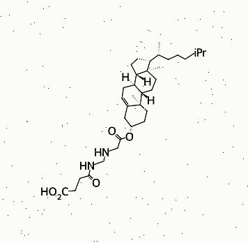 CC(C)CCC[C@@H](C)[C@H]1CC[C@H]2[C@@H]3CC=C4C[C@@H](OC(=O)CNCNC(=O)CCC(=O)O)CC[C@]4(C)[C@H]3CC[C@]12C